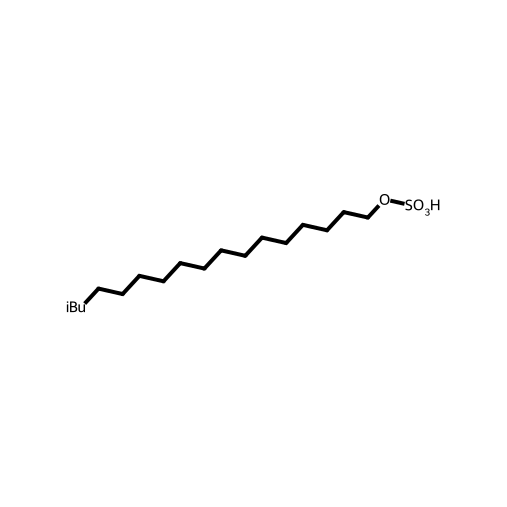 CCC(C)CCCCCCCCCCCCCCOS(=O)(=O)O